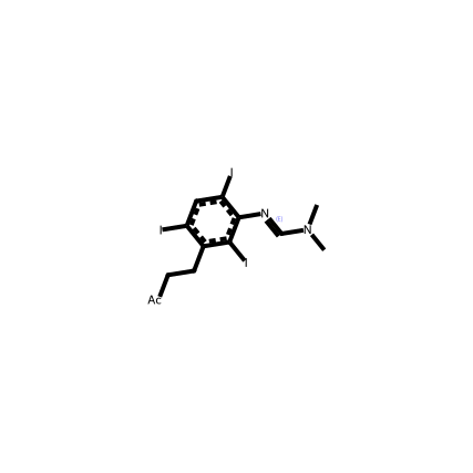 CC(=O)CCc1c(I)cc(I)c(/N=C/N(C)C)c1I